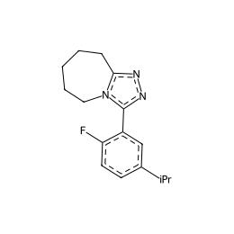 CC(C)c1ccc(F)c(-c2nnc3n2CCCCC3)c1